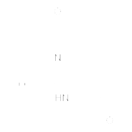 O=Cn1ccc(=O)[nH]c1=O